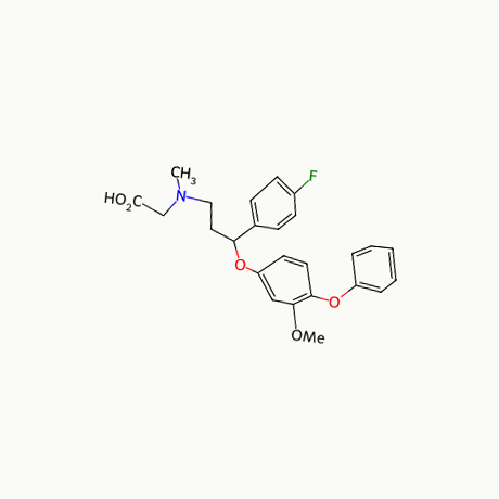 COc1cc(OC(CCN(C)CC(=O)O)c2ccc(F)cc2)ccc1Oc1ccccc1